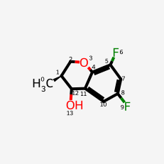 C[C@H]1COc2c(F)cc(F)cc2C1O